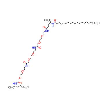 O=C[C@H](CCC(=O)O)NC(=O)COCCOCCNC(=O)COCCOCCNC(=O)COCCOCCNC(=O)CC[C@H](NC(=O)CCCCCCCCCCCCCCCCC(=O)O)C(=O)O